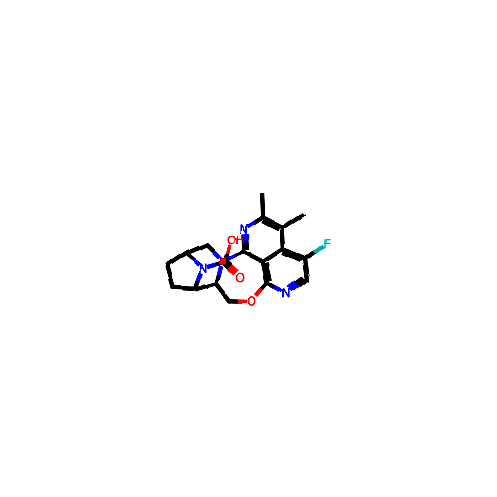 Cc1nc2c3c(ncc(F)c3c1C)OCC1C3CCC(CN21)N3C(=O)O